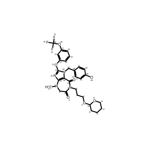 CN1CC(=O)N(CCCOC2CCCCO2)C(=O)c2c1nc(Oc1cccc(OC(F)(F)F)c1)n2Cc1ccc(Cl)cc1